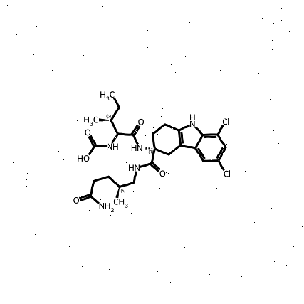 CC[C@H](C)C(NC(=O)O)C(=O)N[C@]1(C(=O)NC[C@@H](C)CCC(N)=O)CCc2[nH]c3c(Cl)cc(Cl)cc3c2C1